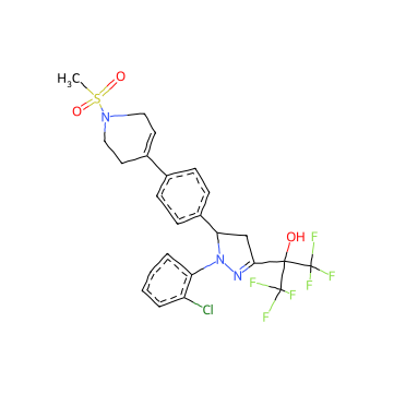 CS(=O)(=O)N1CC=C(c2ccc(C3CC(C(O)(C(F)(F)F)C(F)(F)F)=NN3c3ccccc3Cl)cc2)CC1